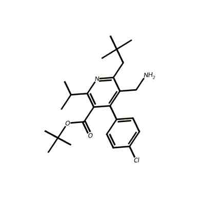 CC(C)c1nc(CC(C)(C)C)c(CN)c(-c2ccc(Cl)cc2)c1C(=O)OC(C)(C)C